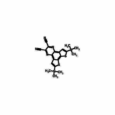 C[Si](C)(C)c1cc2c3nc(C#N)c(C#N)nc3c3cc([Si](C)(C)C)sc3c2s1